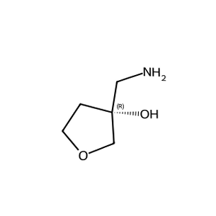 NC[C@]1(O)CCOC1